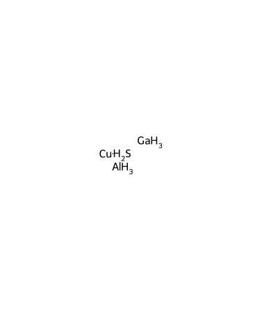 S.[AlH3].[Cu].[GaH3]